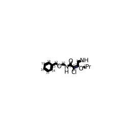 CC(C)O/C(C=N)=C(\Cl)C(=O)NCOCc1ccccc1